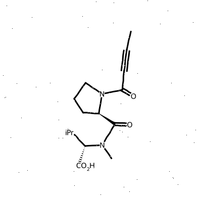 CC#CC(=O)N1CCC[C@@H]1C(=O)N(C)[C@H](C(=O)O)C(C)C